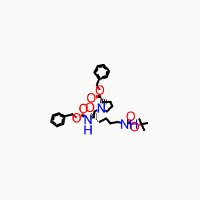 CC(C)(C)OC(=O)NCCCC[C@H](NC(=O)OCc1ccccc1)C(=O)N1CCC[C@@H]1C(=O)OCc1ccccc1